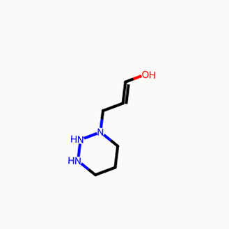 OC=CCN1CCCNN1